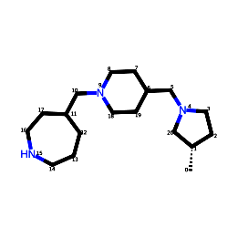 C[C@H]1CCN(CC2CCN(CC3CCCNCC3)CC2)C1